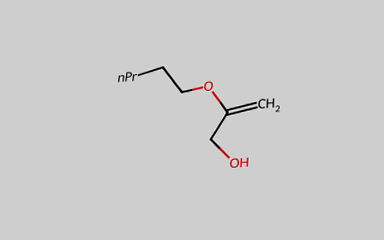 C=C(CO)OCCCCC